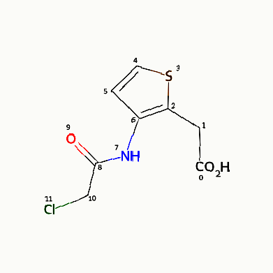 O=C(O)Cc1sccc1NC(=O)CCl